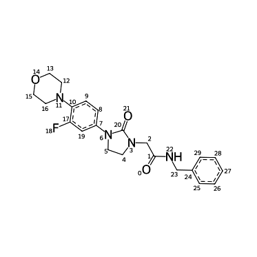 O=C(CN1CCN(c2ccc(N3CCOCC3)c(F)c2)C1=O)NCc1ccccc1